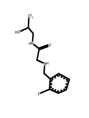 O=C(CNCc1ccccc1F)NCC(O)C(F)(F)F